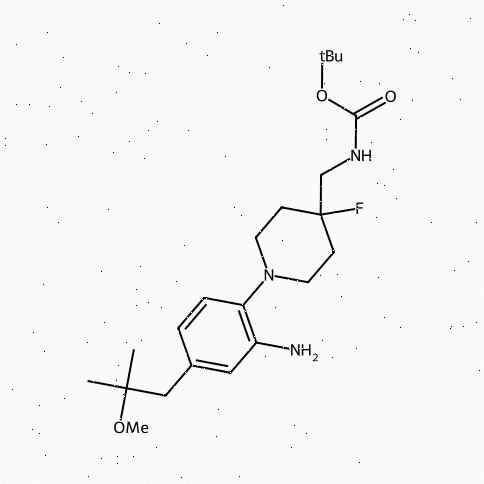 COC(C)(C)Cc1ccc(N2CCC(F)(CNC(=O)OC(C)(C)C)CC2)c(N)c1